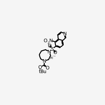 C[C@@H]1CN(C(=O)OC(C)(C)C)CCCCN1S(=O)(=O)c1ccc2cnccc2c1[N+](=O)[O-]